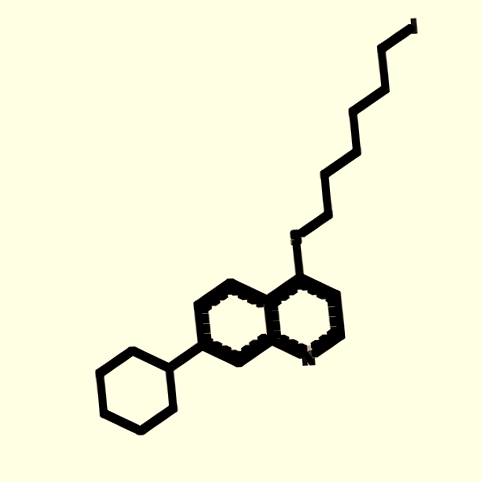 ICCCCCCSc1ccnc2cc(C3CCCCC3)ccc12